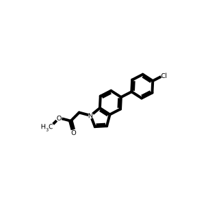 COC(=O)Cn1ccc2cc(-c3ccc(Cl)cc3)ccc21